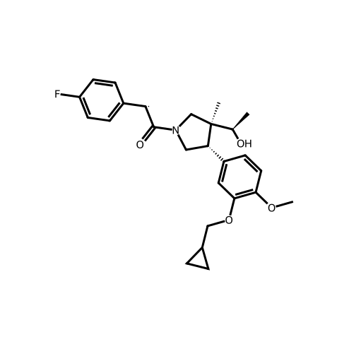 COc1ccc([C@@H]2CN(C(=O)[CH]c3ccc(F)cc3)C[C@@]2(C)[C@@H](C)O)cc1OCC1CC1